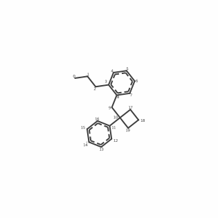 CCCc1ccccc1CC1(c2cc[c]cc2)CCC1